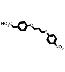 O=C(O)Cc1ccc(OCCCSc2ccc([N+](=O)[O-])cc2)cc1